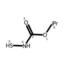 CC(C)OC(=O)NS